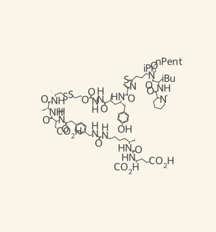 CCCCCOCN(C(=O)C(NC(=O)C1CCCCN1C)C(C)CC)[C@H](CCc1nc(C(=O)N[C@@H](Cc2ccc(O)cc2)CC(C)C(=O)NNC(=O)OCCSSC[C@@H](C)NC(=O)[C@H](C)NC(=O)C(CC(=O)O)NC(=O)Cc2ccc(CNC(=O)NCCCC[C@@H](C)NC(=O)N[C@@H](CCC(=O)O)C(=O)O)cc2)cs1)C(C)C